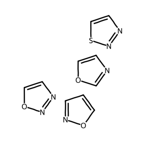 c1cnoc1.c1cocn1.c1conn1.c1csnn1